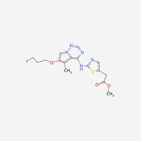 COC(=O)Cc1cnc(Nc2ncnn3cc(OCCCI)c(C)c23)s1